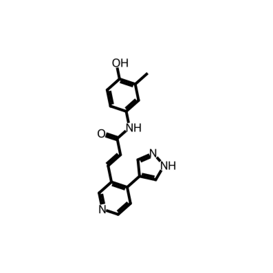 Cc1cc(NC(=O)/C=C/c2cnccc2-c2cn[nH]c2)ccc1O